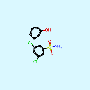 NS(=O)(=O)c1cc(Cl)cc(Cl)c1.Oc1ccccc1